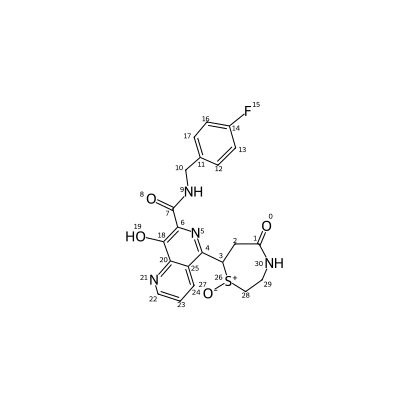 O=C1CC(c2nc(C(=O)NCc3ccc(F)cc3)c(O)c3ncccc23)[S+]([O-])CCN1